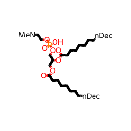 CCCCCCCCCCCCCCCCCC(=O)OCC(COP(=O)(O)OCCNC)OC(=O)CCCCCCCCCCCCCCCCC